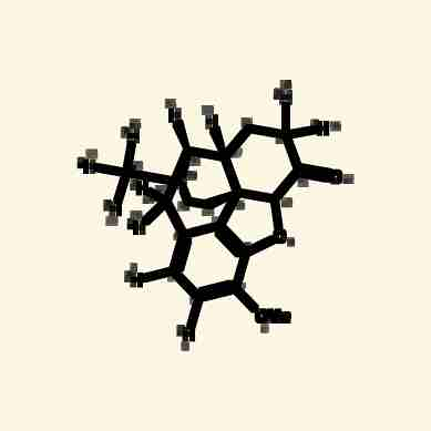 [2H]c1c([2H])c2c3c(c1OC)OC1C(=O)C([2H])([2H])C[C@H]4[C@H](N(C([2H])([2H])[2H])CC[C@]314)C2([2H])[2H]